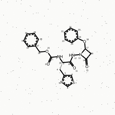 O=C(N[C@@H](Cc1cscn1)C(=O)NN1C(=O)CC1Oc1ccccc1)OCc1ccccc1